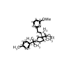 CCOC(C)(C)[C@]1(CCc2nccc(OC)n2)CCN(C(C)(C)c2ccc(C)nc2)C1